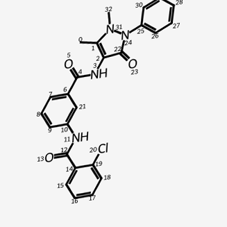 Cc1c(NC(=O)c2cccc(NC(=O)c3ccccc3Cl)c2)c(=O)n(-c2ccccc2)n1C